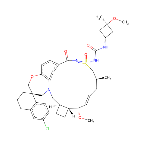 CO[C@H]1/C=C/C[C@H](C)C[S@@](=O)(NC(=O)N[C@H]2C[C@](C)(OC)C2)=NC(=O)c2ccc3c(c2)N(C[C@@H]2CC[C@H]21)C[C@@]1(CCCc2cc(Cl)ccc21)CO3